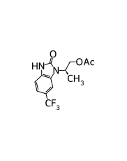 CC(=O)OC[C@@H](C)n1c(=O)[nH]c2ccc(C(F)(F)F)cc21